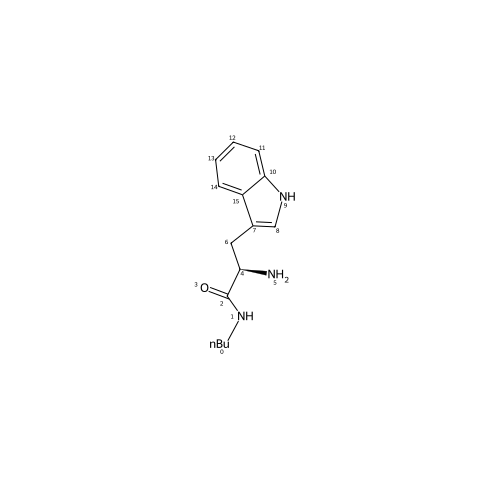 CCCCNC(=O)[C@H](N)Cc1c[nH]c2ccccc12